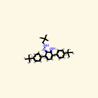 CC(C)(C)CN/N=C1\C(=N)C(c2ccc(C(C)(C)C)cc2)=CC=C1c1ccc(C(C)(C)C)cc1